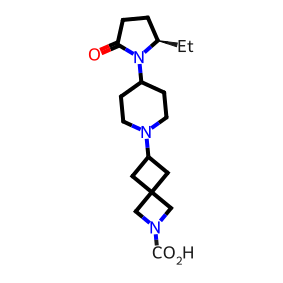 CC[C@@H]1CCC(=O)N1C1CCN(C2CC3(C2)CN(C(=O)O)C3)CC1